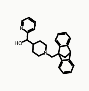 OC(c1ccccn1)C1CCN(CC23CC(c4ccccc42)c2ccccc23)CC1